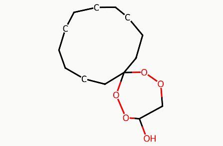 OC1COOC2(CCCCCCCCCCC2)OO1